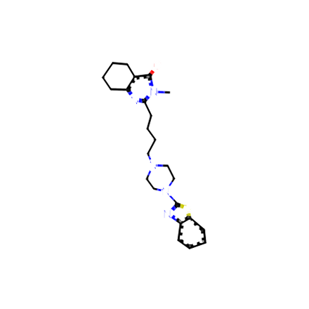 Cn1c(CCCCN2CCN(c3nc4ccccc4s3)CC2)nc2c(c1=O)CCCC2